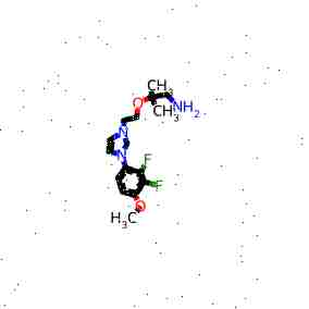 COc1ccc(N2C=CN(CCOC(C)(C)CN)C2)c(F)c1F